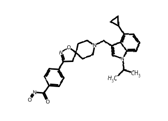 CC(C)n1cc(CN2CCC3(CC2)CC(c2ccc(C(=O)N=O)cc2)=NO3)c2c(C3CC3)cccc21